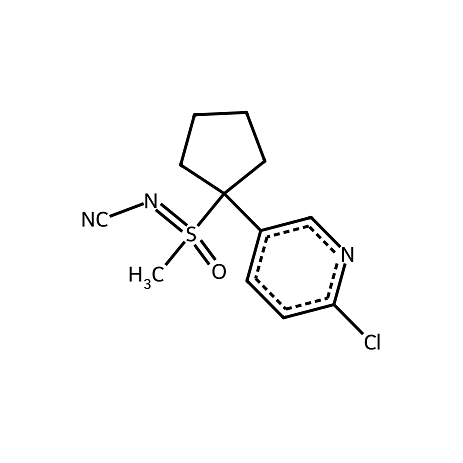 CS(=O)(=NC#N)C1(c2ccc(Cl)nc2)CCCC1